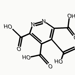 O=C(O)c1nnc(C(=O)O)c(C(=O)O)c1C(=O)O